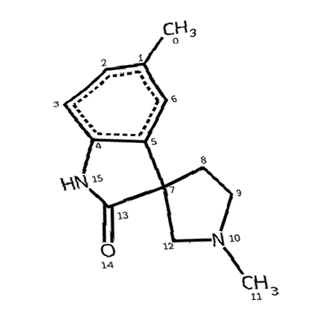 Cc1ccc2c(c1)C1(CCN(C)C1)C(=O)N2